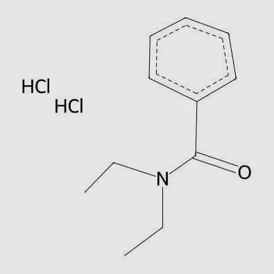 CCN(CC)C(=O)c1ccccc1.Cl.Cl